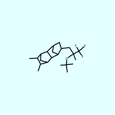 CC1C(C)C2CC1C1C3CC(CC(C)(OC(C)(C)C)C(F)(F)F)C(C3)C21